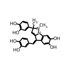 CN1n2c(/c(=C\c3ccc(O)c(O)c3)c3cc(O)c(O)cc32)=CC1(C)c1ccc(O)c(O)c1